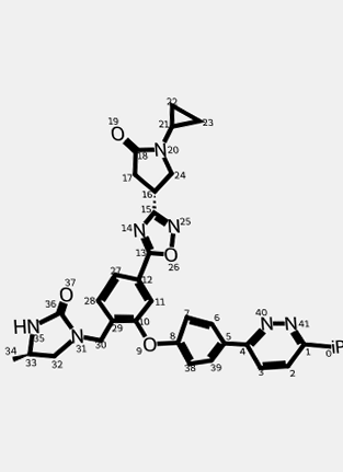 CC(C)c1ccc(-c2ccc(Oc3cc(-c4nc([C@@H]5CC(=O)N(C6CC6)C5)no4)ccc3CN3C[C@@H](C)NC3=O)cc2)nn1